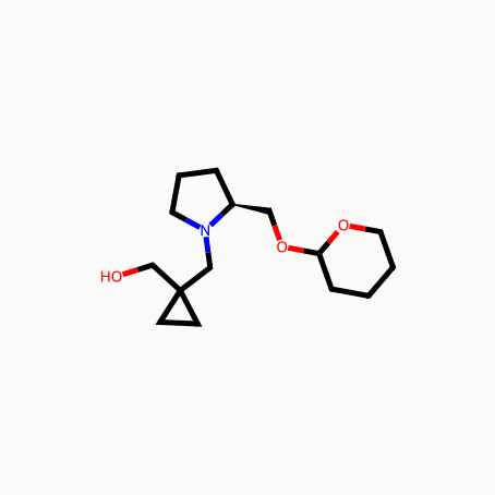 OCC1(CN2CCC[C@H]2COC2CCCCO2)CC1